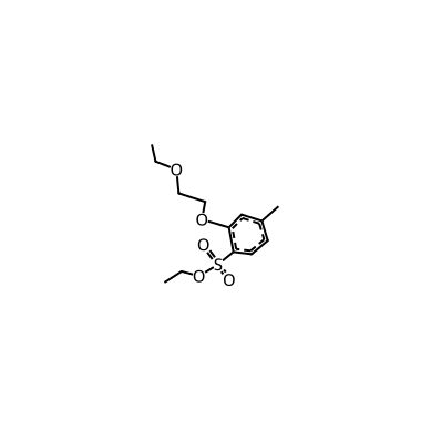 CCOCCOc1cc(C)ccc1S(=O)(=O)OCC